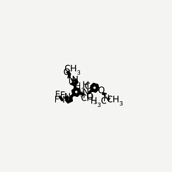 COCCn1cc(-c2cc(-c3ccn(CC(F)(F)F)n3)cc([C@@H](C)NC(=O)c3cc(OCCN(C)C)ccc3C)c2)cn1